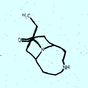 CCC(=O)N1C2CCCC1CNCC2